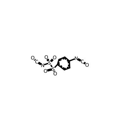 O=C=Nc1ccc(S(=O)(=O)S(=O)(=O)N=C=O)cc1